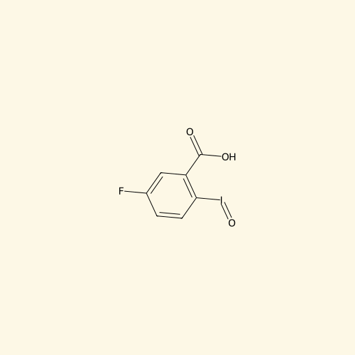 O=Ic1ccc(F)cc1C(=O)O